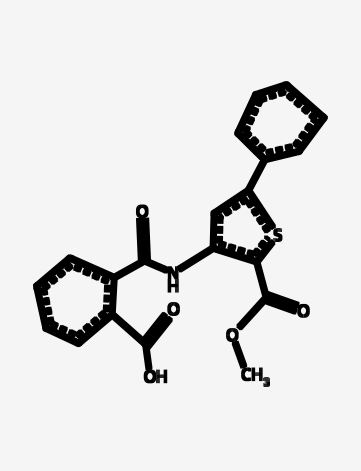 COC(=O)c1sc(-c2ccccc2)cc1NC(=O)c1ccccc1C(=O)O